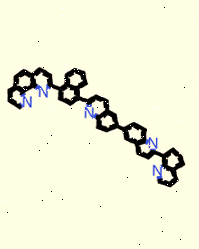 c1cnc2c(-c3ccc4cc(-c5ccc6nc(-c7ccc(-c8ccc9ccc%10cccnc%10c9n8)c8ccccc78)ccc6c5)ccc4n3)cccc2c1